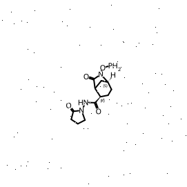 O=C(NN1CCCC1=O)[C@@H]1CC[C@H]2CC1C(=O)N2OP